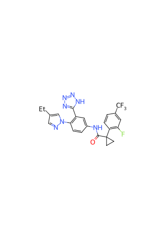 CCc1cnn(-c2ccc(NC(=O)C3(c4ccc(C(F)(F)F)cc4F)CC3)cc2-c2nnn[nH]2)c1